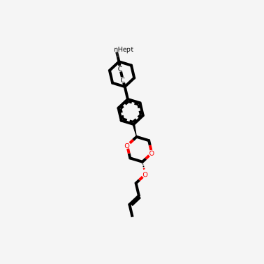 CC=CCO[C@@H]1CO[C@@H](c2ccc(C34CCC(CCCCCCC)(CC3)CC4)cc2)CO1